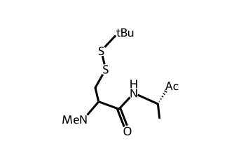 CNC(CSSC(C)(C)C)C(=O)N[C@@H](C)C(C)=O